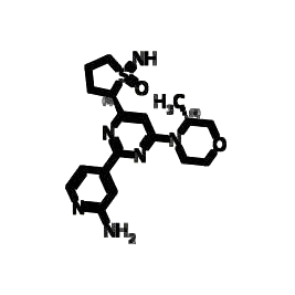 C[C@@H]1COCCN1c1cc([C@H]2CCCS2(=N)=O)nc(-c2ccnc(N)c2)n1